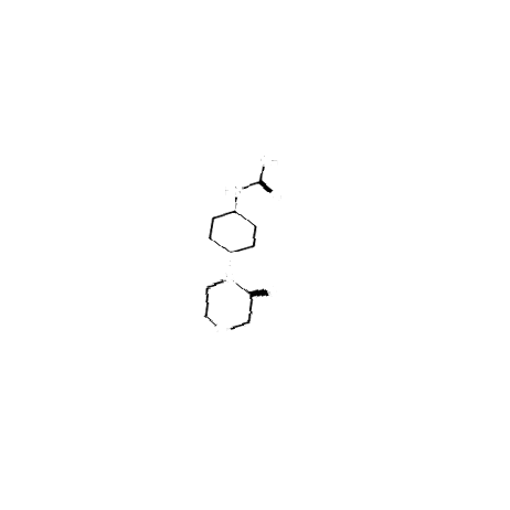 O=C(O)N[C@H]1CC[C@H](N2CCOCC2=O)CC1